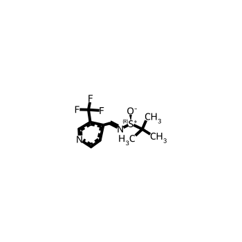 CC(C)(C)[S@+]([O-])N=Cc1ccncc1C(F)(F)F